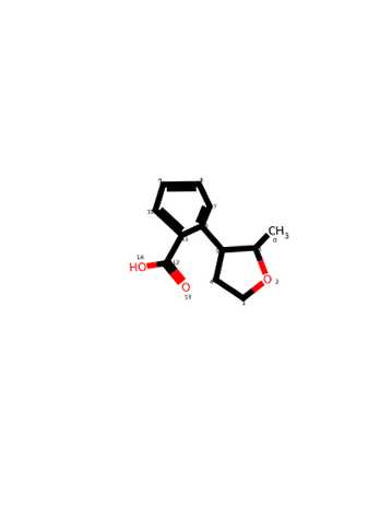 CC1OCCC1c1ccccc1C(=O)O